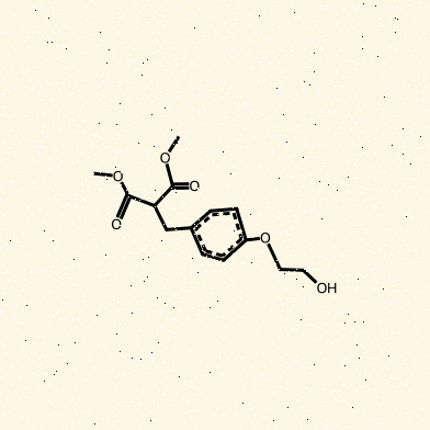 COC(=O)C(Cc1ccc(OCCO)cc1)C(=O)OC